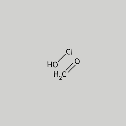 C=O.OCl